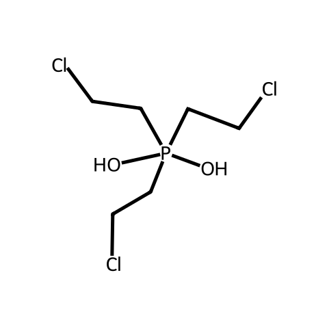 OP(O)(CCCl)(CCCl)CCCl